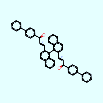 O=C(/C=C/c1ccc2ccccc2c1-c1c(/C=C/C(=O)c2ccc(-c3ccccc3)cc2)ccc2ccccc12)c1ccc(-c2ccccc2)cc1